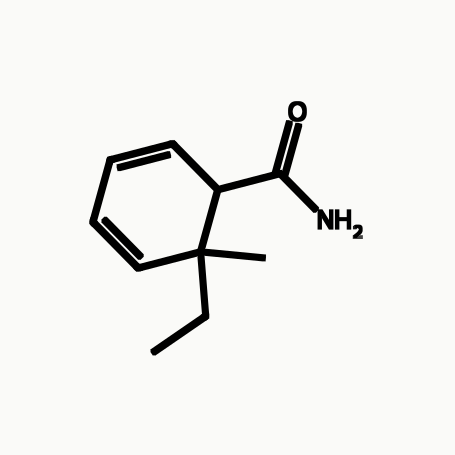 CCC1(C)C=CC=CC1C(N)=O